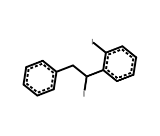 Ic1ccccc1C(I)Cc1ccccc1